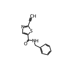 C#Cc1ncc(C(=O)NCc2ccccc2)s1